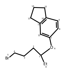 CCC(CCCBr)Oc1ccc2c(c1)CCC2